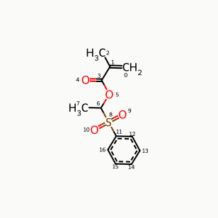 C=C(C)C(=O)OC(C)S(=O)(=O)c1ccccc1